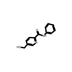 O=C(Nc1ccccc1)c1ccc(CO)cn1